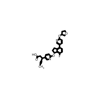 CC#CC(CC(=O)O)c1ccc(O[C@@H]2CCc3c(-c4ccc(OC5CCOC5)nc4)ccc(F)c32)nc1